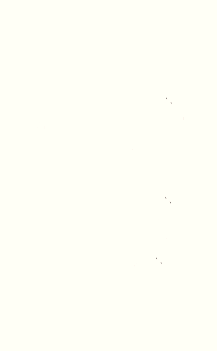 C=CC(=O)Nc1ccn(-c2cc3c(c(-c4ccc(Oc5ccccc5)cc4)c2)CNC3=O)c1